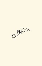 CC(C)(C)CC1CCC(n2cc(Cc3ccccc3)cn2)CC1